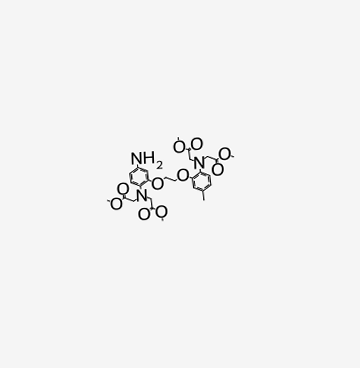 COC(=O)CN(CC(=O)OC)c1ccc(C)cc1OCCOc1cc(N)ccc1N(CC(=O)OC)CC(=O)OC